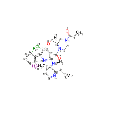 C=CC(=O)N1CCN2C(=O)c3c(N(C)c4c(C)ccnc4COC)nc(-c4c(F)cccc4P)c(Cl)c3OC[C@H]2C1